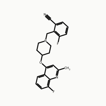 Cc1cc(OC2CCN(Cc3c(F)cccc3C#N)CC2)c2cccc(F)c2n1